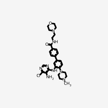 CN1CCN(c2ccc(-c3ccc(C(=O)NCCN4CCOCC4)cc3)cc2Nc2ncnc(Cl)c2N)CC1